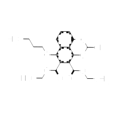 CCCCOc1c(C(=O)OCC)c(C(=O)OCC)c(OC(C)C)c2ccccc12